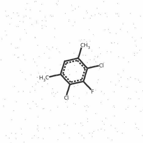 Cc1cc(C)c(Cl)c(F)c1Cl